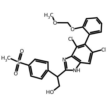 COCOc1ccccc1-c1c(Cl)cc2[nH]c(C(CO)c3ccc(S(C)(=O)=O)cc3)nc2c1Cl